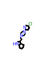 Clc1ccc(N2CCN(CCc3c[nH]c4ccccc34)CC2)nc1